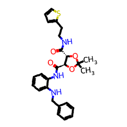 CC1(C)O[C@@H](C(=O)NCCc2cccs2)[C@H](C(=O)Nc2ccccc2NCc2ccccc2)O1